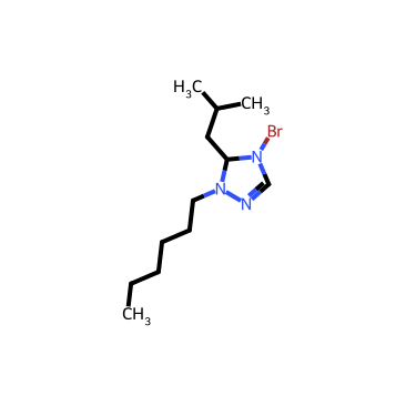 CCCCCCN1N=CN(Br)C1CC(C)C